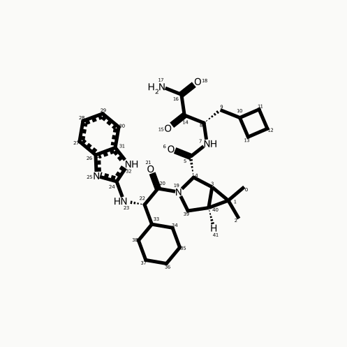 CC1(C)C2[C@@H](C(=O)N[C@@H](CC3CCC3)C(=O)C(N)=O)N(C(=O)[C@@H](Nc3nc4ccccc4[nH]3)C3CCCCC3)C[C@@H]21